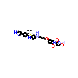 CN(C)c1ccc(-c2ccc(-c3nc4ccc(NCCCCCOc5ccc6c(c5)CN(C5CCC(=O)NC5=O)C6=O)cc4s3)c(C(F)(F)F)c2)cn1